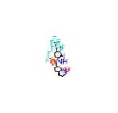 O=C(Nc1c(I)cc(C(F)(C(F)(F)F)C(F)(F)C(F)(F)F)cc1[S+]([O-])C(F)F)c1ccc2ccc[n+]([O-])c2c1